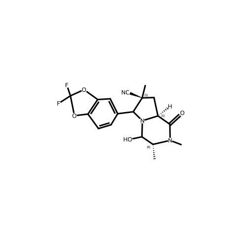 C[C@@H]1C(O)N2C(c3ccc4c(c3)OC(F)(F)O4)[C@@](C)(C#N)C[C@H]2C(=O)N1C